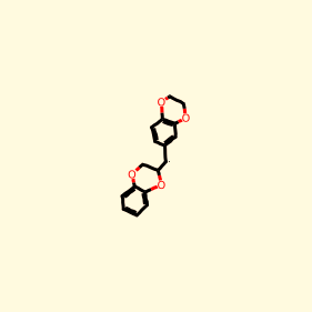 [CH](c1ccc2c(c1)OCCO2)C1COc2ccccc2O1